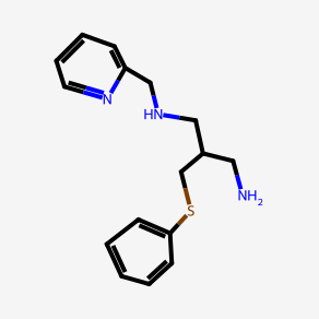 NCC(CNCc1ccccn1)CSc1ccccc1